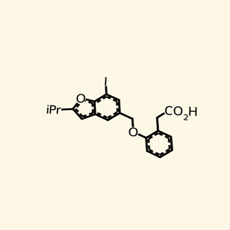 CC(C)c1cc2cc(COc3ccccc3CC(=O)O)cc(I)c2o1